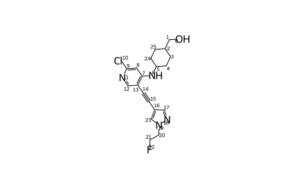 OCC1CCC(Nc2cc(Cl)ncc2C#Cc2cnn(CCF)c2)CC1